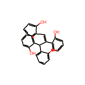 Oc1ccccc1/C=C(\[C](c1ccccc1O)c1ccccc1O)c1ccccc1O